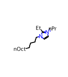 CCCCCCCCCCCCn1cc[n+](CCC)c1CC